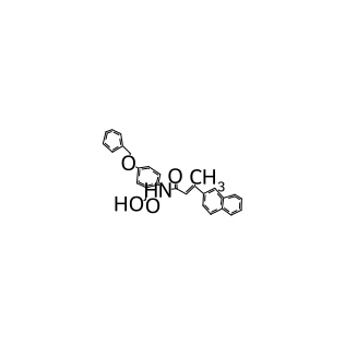 C/C(=C\C(=O)Nc1ccc(OCc2ccccc2)cc1C(=O)O)c1ccc2ccccc2c1